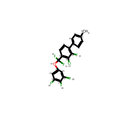 Cc1ccc(-c2ccc(C(F)(F)Oc3cc(F)c(F)c(F)c3)c(Cl)c2F)cc1